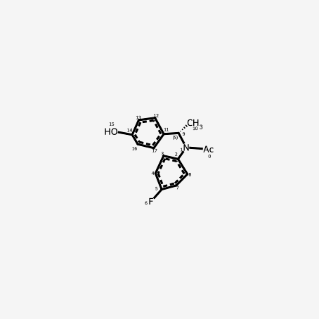 CC(=O)N(c1ccc(F)cc1)[C@@H](C)c1ccc(O)cc1